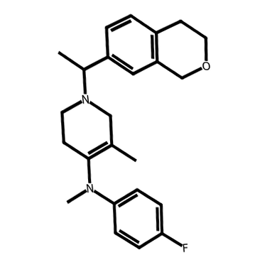 CC1=C(N(C)c2ccc(F)cc2)CCN(C(C)c2ccc3c(c2)COCC3)C1